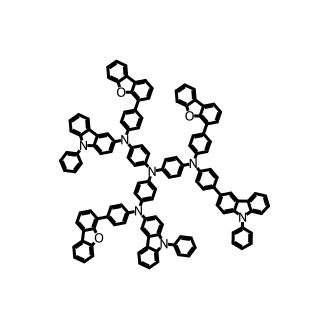 c1ccc(-n2c3ccccc3c3cc(-c4ccc(N(c5ccc(-c6cccc7c6oc6ccccc67)cc5)c5ccc(N(c6ccc(N(c7ccc(-c8cccc9c8oc8ccccc89)cc7)c7ccc8c(c7)c7ccccc7n8-c7ccccc7)cc6)c6ccc(N(c7ccc(-c8cccc9c8oc8ccccc89)cc7)c7ccc8c(c7)c7ccccc7n8-c7ccccc7)cc6)cc5)cc4)ccc32)cc1